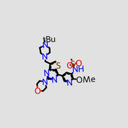 COc1ncc(-c2nc(N3CCOCC3)nc3c(CN4CCN(C(C)(C)C)CC4)csc23)cc1NS(C)(=O)=O